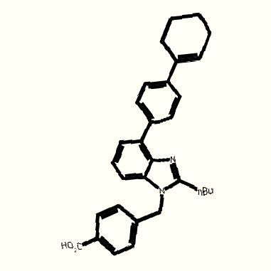 CCCCc1nc2c(-c3ccc(C4=CCCCC4)cc3)cccc2n1Cc1ccc(C(=O)O)cc1